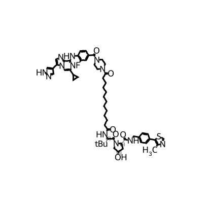 Cc1ncsc1-c1ccc(CNC(=O)[C@@H]2C[C@@H](O)CN2C(=O)[C@@H](NC(=O)CCCCCCCCCCCC(=O)N2CCN(C(=O)c3ccc(Nc4nc(C5CC5)cn5c(-c6cn[nH]c6)cnc45)c(F)c3)CC2)C(C)(C)C)cc1